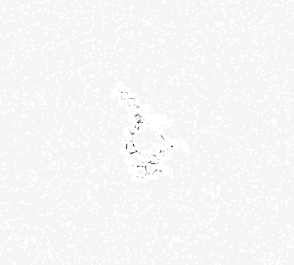 CO[C@H]1/C=C/C[C@H](C)C[S@@](=O)(NC(=O)NC2CC3(C2)CC(F)(F)C3)=NC(=O)c2ccc3c(c2)N(C[C@@H]2CC[C@H]21)C[C@@]1(CCCc2cc(Cl)ccc21)CO3